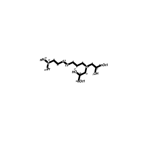 CCCCCCCCC(O)CN(CCCSSCCN(CCC)C(C)C)CC(O)CCCCCCCC